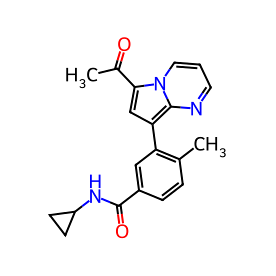 CC(=O)c1cc(-c2cc(C(=O)NC3CC3)ccc2C)c2ncccn12